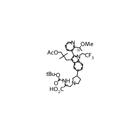 CO[C@@H](C)c1ncccc1-c1c(CC(C)(C)COC(C)=O)c2cc(C3CCN(C[C@H](NC(=O)OC(C)(C)C)C(=O)O)C3)ccc2n1CC(F)(F)F